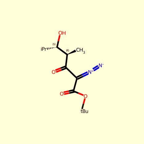 CC(C)[C@H](O)[C@@H](C)C(=O)C(=[N+]=[N-])C(=O)OC(C)(C)C